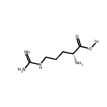 [2H]OC(=O)[C@H](N)CCCNC(=N)N